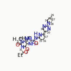 CCC(=O)Cn1c(=O)c(N[C@@H](C)C(=O)Nc2cccc(-c3cnc(N4CC5CC5C4)nc3)n2)c(N)n(C)c1=O